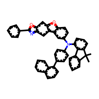 CC1(C)c2ccccc2-c2c(N(c3ccc(-c4cccc5ccccc45)cc3)c3ccc4oc5cc6oc(-c7ccccc7)nc6cc5c4c3)cccc21